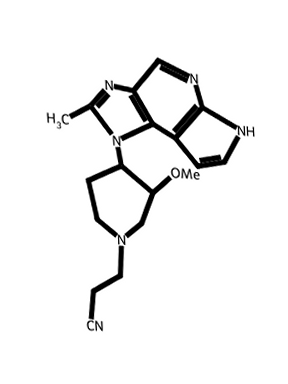 COC1CN(CCC#N)CCC1n1c(C)nc2cnc3[nH]ccc3c21